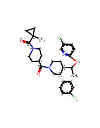 CC(Oc1ccc(Cl)cn1)[C@@H]1CCN(C(=O)C2CCN(C(=O)C3(C)CC3)CC2)C[C@H]1c1ccc(Cl)cc1